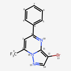 FC(F)(F)c1cc(-c2ccccc2)nc2c(Br)cnn12